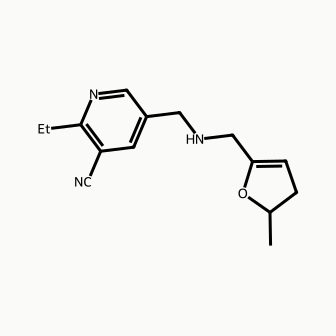 CCc1ncc(CNCC2=CCC(C)O2)cc1C#N